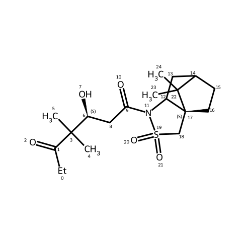 CCC(=O)C(C)(C)[C@@H](O)CC(=O)N1C2CC3CC[C@]2(CS1(=O)=O)C3(C)C